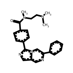 CN(C)CCN(C)C(=O)c1ccc(-c2ncc3cnc(-c4ccccc4)cn23)cc1